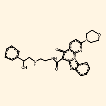 O=C(NCCNCC(O)c1ccccc1)c1c(=O)c2ccc(N3CCOCC3)nc2n2c1sc1ccccc12